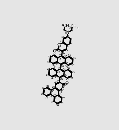 CCN(CC)c1ccc2cc(-c3c4ccccc4c(-c4c5ccccc5c(-c5cc6c7ccccc7c7ccccc7c6oc5=O)c5ccccc45)c4ccccc34)c(=O)oc2c1